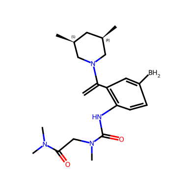 Bc1ccc(NC(=O)N(C)CC(=O)N(C)C)c(C(=C)N2C[C@H](C)C[C@H](C)C2)c1